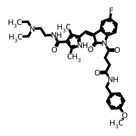 CCN(CC)CCNC(=O)c1c(C)[nH]c(/C=C2\C(=O)N(C(=O)CCC(=O)NCc3ccc(OC)cc3)c3ccc(F)cc32)c1C